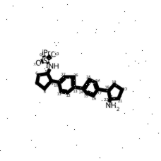 CC(C)S(=O)(=O)NC1CCCC1c1ccc(-c2ccc(C3CCCC3N)cc2)cc1